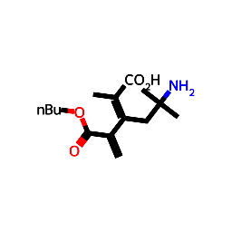 C=C(C(=O)OCCCC)C(CC(C)(C)N)=C(C)C(=O)O